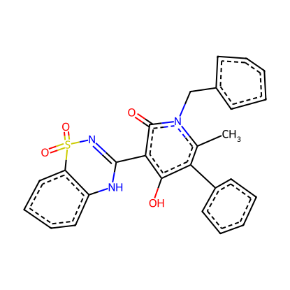 Cc1c(-c2ccccc2)c(O)c(C2=NS(=O)(=O)c3ccccc3N2)c(=O)n1Cc1ccccc1